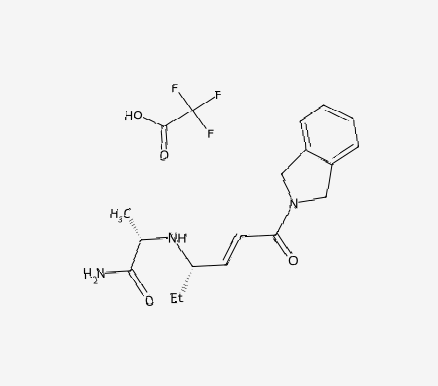 CC[C@@H](/C=C/C(=O)N1Cc2ccccc2C1)N[C@@H](C)C(N)=O.O=C(O)C(F)(F)F